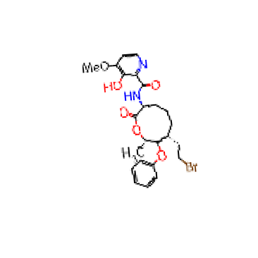 COc1ccnc(C(=O)N[C@H]2CCC[C@H](CCBr)[C@@H](Oc3ccccc3)[C@H](C)OC2=O)c1O